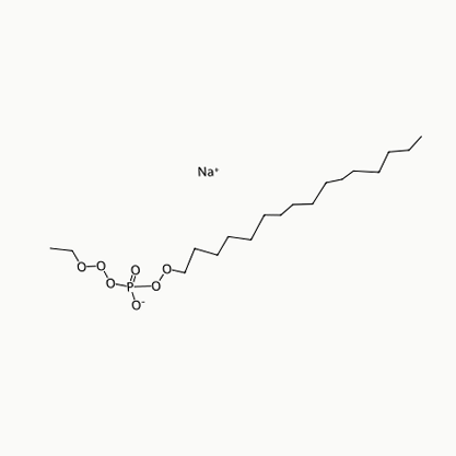 CCCCCCCCCCCCCCCCOOP(=O)([O-])OOOCC.[Na+]